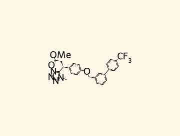 COC(=O)C[C@@H](c1ccc(OCc2cccc(-c3ccc(C(F)(F)F)cc3)c2)cc1)c1nnnn1C